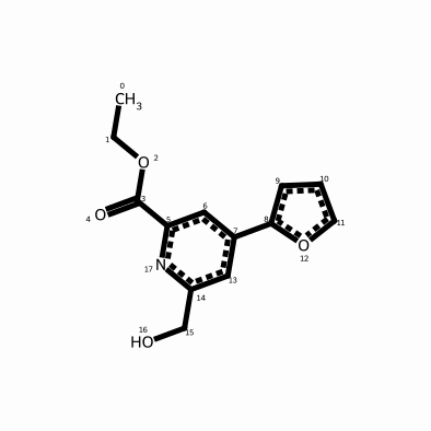 CCOC(=O)c1cc(-c2ccco2)cc(CO)n1